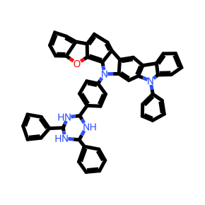 c1ccc(C2NC(c3ccccc3)NC(c3ccc(-n4c5cc6c(cc5c5ccc7c8ccccc8oc7c54)c4ccccc4n6-c4ccccc4)cc3)N2)cc1